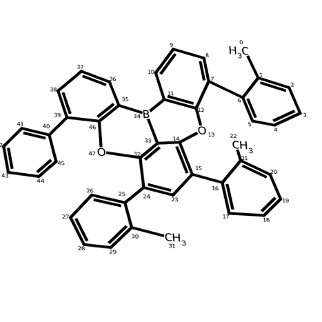 Cc1ccccc1-c1cccc2c1Oc1c(-c3ccccc3C)cc(-c3ccccc3C)c3c1B2c1cccc(-c2ccccc2)c1O3